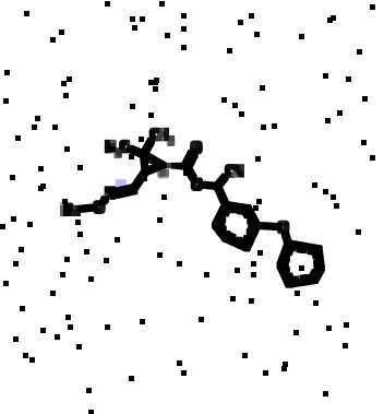 CCC(C)O/N=C/C1[C@@H](C(=O)OC(C#N)c2cccc(Oc3ccccc3)c2)C1(C)C